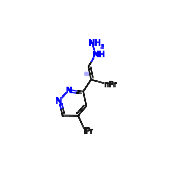 CCC/C(=C\NN)c1cc(C(C)C)cnn1